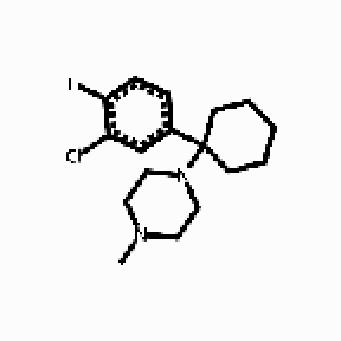 CN1CCN(C2(c3ccc(F)c(Cl)c3)C[CH]CCC2)CC1